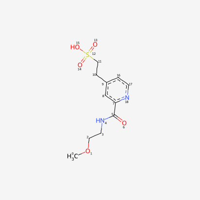 COCCNC(=O)c1cc(CCS(=O)(=O)O)ccn1